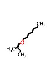 CCCCCCCOC=C(C)CC